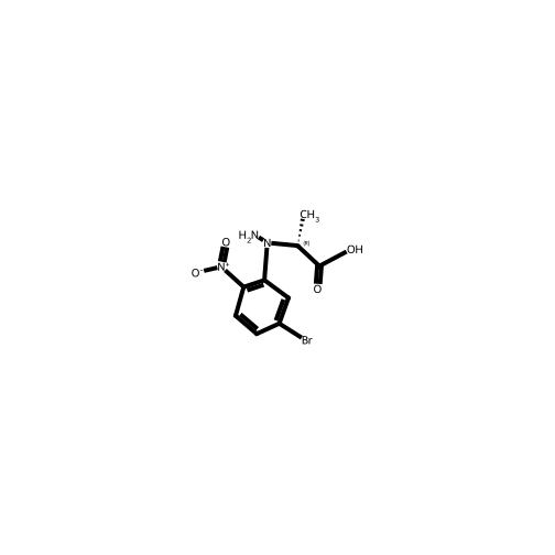 C[C@H](C(=O)O)N(N)c1cc(Br)ccc1[N+](=O)[O-]